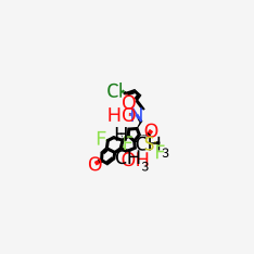 C[C@]12C[C@H](O)[C@@]3(F)[C@@H](C[C@H](F)C4=CC(=O)C=C[C@@]43C)C1C[C@@H](CN(O)Cc1ccc(Cl)o1)[C@@H]2C(=O)SCF